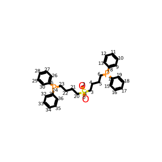 O=S(=O)(CCCCP(c1ccccc1)c1ccccc1)CCCCP(c1ccccc1)c1ccccc1